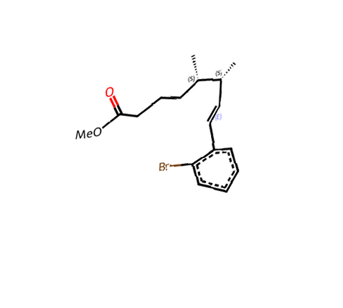 COC(=O)CCC[C@H](C)[C@H](C)/C=C/c1ccccc1Br